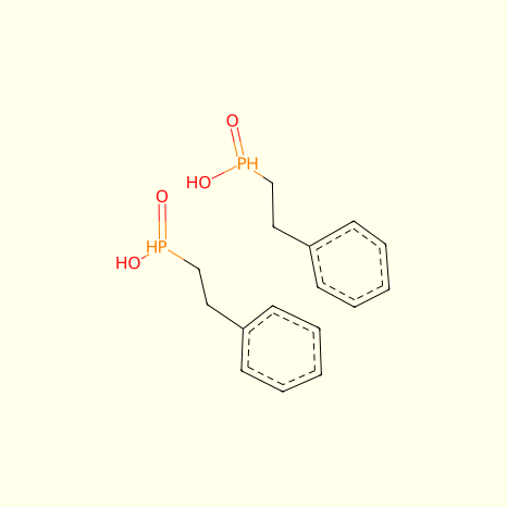 O=[PH](O)CCc1ccccc1.O=[PH](O)CCc1ccccc1